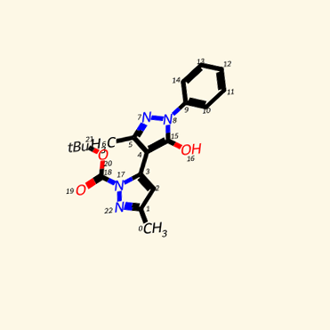 Cc1cc(-c2c(C)nn(-c3ccccc3)c2O)n(C(=O)OC(C)(C)C)n1